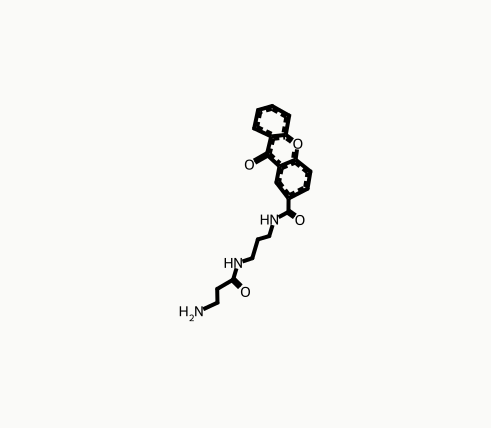 NCCC(=O)NCCCNC(=O)c1ccc2oc3ccccc3c(=O)c2c1